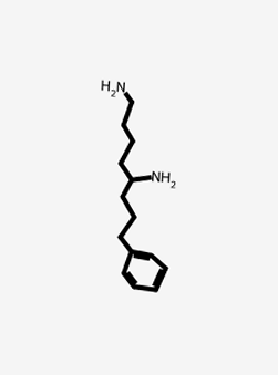 NCCCCC(N)CCCc1ccccc1